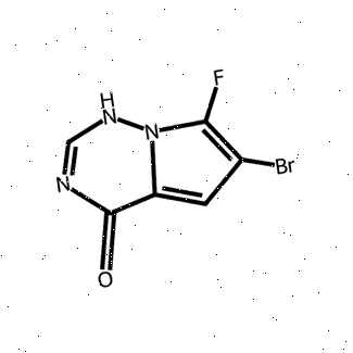 O=c1nc[nH]n2c(F)c(Br)cc12